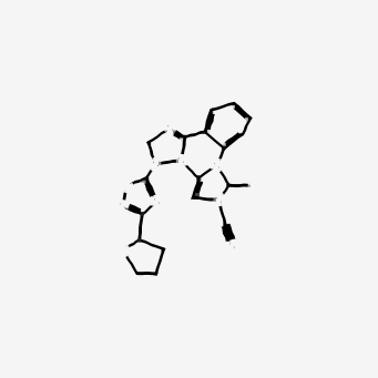 N#CN1C=C2N(c3ccccc3C3=NCN(c4nc(C5CCCO5)no4)N23)C1Cl